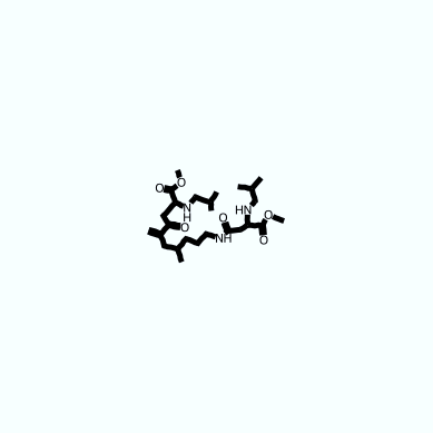 C=C(CC(C)CCCNC(=O)CC(NCC(C)C)C(=O)OC)C(=O)CC(NCC(C)C)C(=O)OC